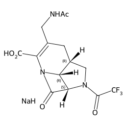 CC(=O)NCC1=C(C(=O)O)N2C(=O)[C@@H]3[C@H]2[C@H](C1)CN3C(=O)C(F)(F)F.[NaH]